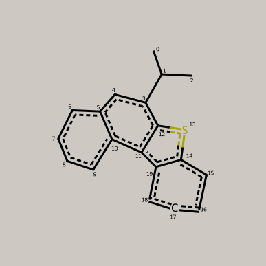 CC(C)c1cc2ccccc2c2c1sc1ccccc12